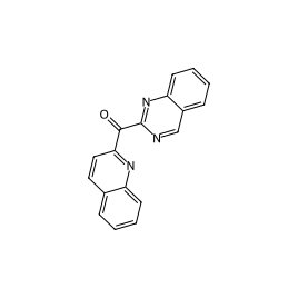 O=C(c1ccc2ccccc2n1)c1ncc2ccccc2n1